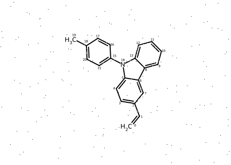 C=Cc1ccc2c(c1)c1ccccc1n2-c1ccc(C)cc1